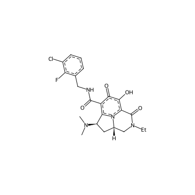 CCN1C[C@@H]2C[C@@H](N(C)C)c3c(C(=O)NCc4cccc(Cl)c4F)c(=O)c(O)c(n32)C1=O